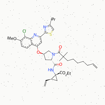 C=CCCCCCC(C)(C)C(=O)N1C[C@H](Oc2cc(-c3nc(C(C)C)cs3)nc3c(Cl)c(OC)ccc23)C[C@H]1C(=O)N[C@]1(C(=O)OCC)C[C@H]1C=C